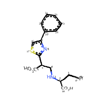 CC(C)CC(NCC(C(=O)O)c1nc(-c2ccccc2)cs1)C(=O)O